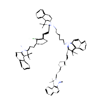 CN1C(=CC=C2CCC(C=CC3=[N+](CCCCCC[N+]4=C(C=CC5=C(Cl)C(=CC=C6N(C)c7ccc8ccccc8c7C6(C)C)CC5)C(C)(C)c5c4ccc4ccccc54)c4ccc5ccccc5c4C3(C)C)=C2Cl)C(C)(C)c2c1ccc1ccccc21